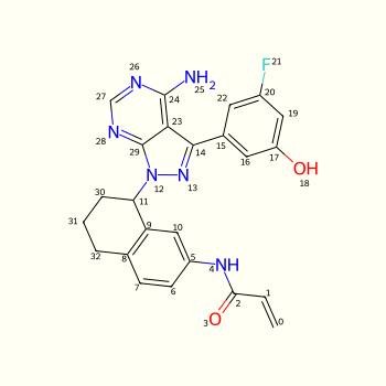 C=CC(=O)Nc1ccc2c(c1)C(n1nc(-c3cc(O)cc(F)c3)c3c(N)ncnc31)CCC2